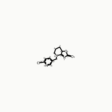 O=C1N=C2C(CCCN2Cc2ccc(Cl)nc2)O1